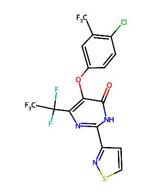 O=c1[nH]c(-c2ccsn2)nc(C(F)(F)C(F)(F)F)c1Oc1ccc(Cl)c(C(F)(F)F)c1